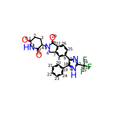 O=C1CCC(N2Cc3cc(-c4nc(C(F)(F)F)[nH]c4-c4ccccc4)ccc3C2=O)C(=O)N1